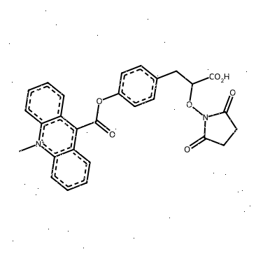 C[n+]1c2ccccc2c(C(=O)Oc2ccc(CC(ON3C(=O)CCC3=O)C(=O)O)cc2)c2ccccc21